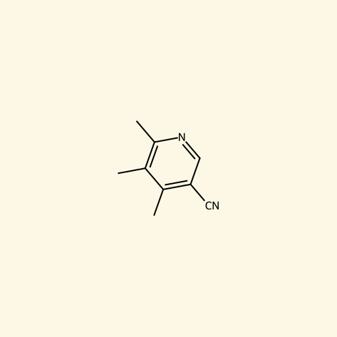 Cc1ncc(C#N)c(C)c1C